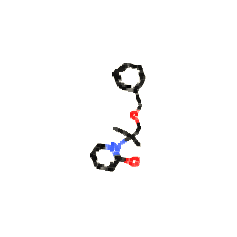 CC(C)(COCc1ccccc1)n1ccccc1=O